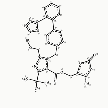 CCOCc1nc(C(C)(C)O)c(C(=O)OCc2oc(=O)oc2C)n1Cc1ccc(-c2ccccc2-c2nnn[nH]2)cc1